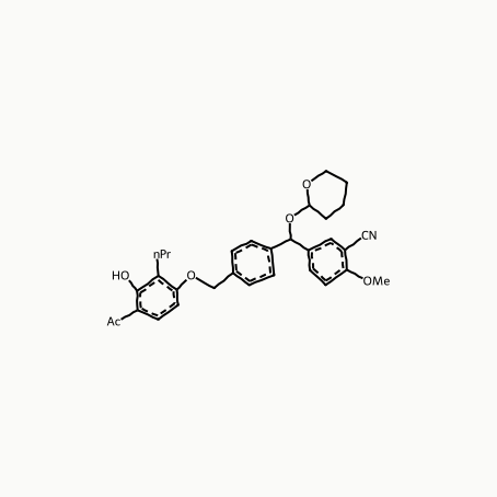 CCCc1c(OCc2ccc(C(OC3CCCCO3)c3ccc(OC)c(C#N)c3)cc2)ccc(C(C)=O)c1O